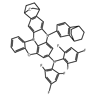 Fc1cc(F)c(N(c2cc3c4c(c2)N(c2ccc5c(c2)C2CCC5CC2)c2cc5c(cc2B4c2ccccc2O3)C2CCC5CC2)c2c(F)cc(F)cc2F)c(F)c1